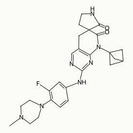 CN1CCN(c2ccc(Nc3ncc4c(n3)N(C35CC(C3)C5)C(=O)C3(CCNC3=O)C4)cc2F)CC1